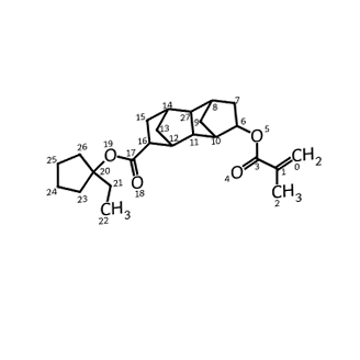 C=C(C)C(=O)OC1CC2CC1C1C3CC(CC3C(=O)OC3(CC)CCCC3)C21